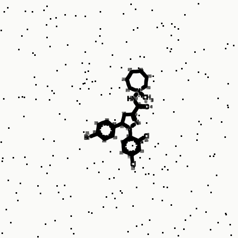 C[N+]1(NC(=O)C2=NN(c3ccc(Cl)cc3Cl)C(c3ccc(Br)cc3)C2)CCCCCC1